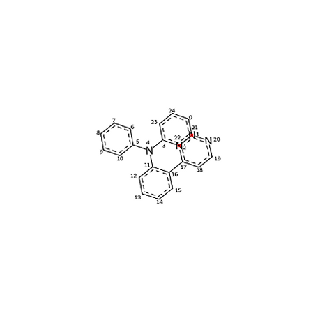 c1ccc(N(c2ccccc2)c2ccccc2-c2ccnnn2)cc1